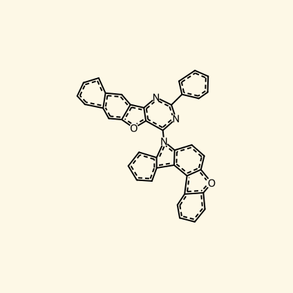 c1ccc(-c2nc(-n3c4ccccc4c4c5c(ccc43)oc3ccccc35)c3oc4cc5ccccc5cc4c3n2)cc1